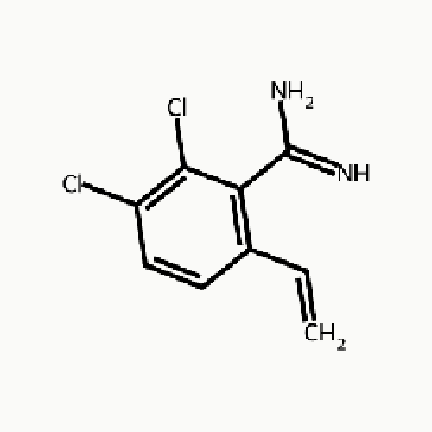 C=Cc1ccc(Cl)c(Cl)c1C(=N)N